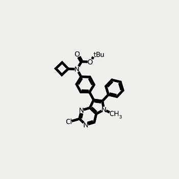 Cn1c(-c2ccccc2)c(-c2ccc(N(C(=O)OC(C)(C)C)C3CCC3)cc2)c2nc(Cl)ncc21